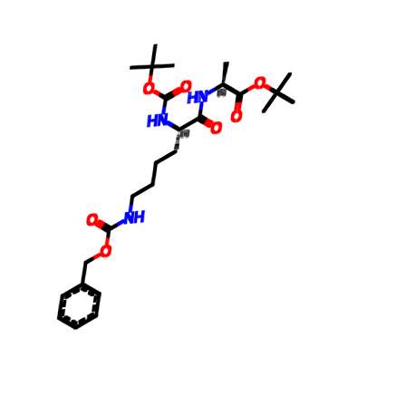 C[C@H](NC(=O)[C@H](CCCCNC(=O)OCc1ccccc1)NC(=O)OC(C)(C)C)C(=O)OC(C)(C)C